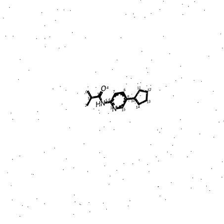 CC(C)C(=O)Nc1ccc(C2CCCC2)cn1